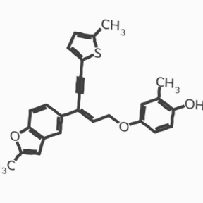 Cc1cc2cc(C(C#Cc3ccc(C)s3)=CCOc3ccc(O)c(C)c3)ccc2o1